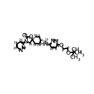 CC(C)(C)OCCOc1ccc(NC[C@H]2CC[C@]3(CC2)CN(c2cccnn2)C(=O)O3)nn1